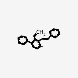 C=Cc1c(C=Cc2ccccc2)[c]ccc1-c1ccccc1